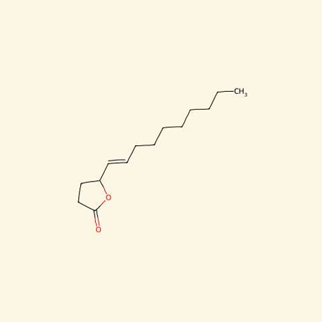 CCCCCCCC/C=C/C1CCC(=O)O1